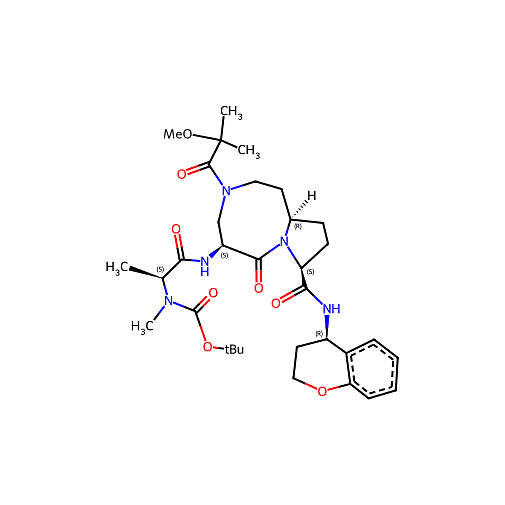 COC(C)(C)C(=O)N1CC[C@H]2CC[C@@H](C(=O)N[C@@H]3CCOc4ccccc43)N2C(=O)[C@@H](NC(=O)[C@H](C)N(C)C(=O)OC(C)(C)C)C1